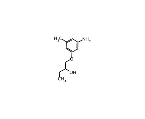 CCC(O)COc1cc(C)cc(N)c1